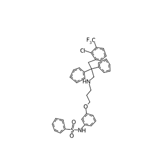 O=S(=O)(Nc1cccc(OCCCNCC(Cc2cccc(C(F)(F)F)c2Cl)(c2ccccc2)c2ccccc2)c1)c1ccccc1